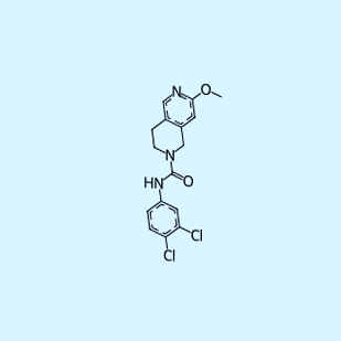 COc1cc2c(cn1)CCN(C(=O)Nc1ccc(Cl)c(Cl)c1)C2